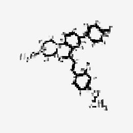 COc1ccc(/C=C/C(=O)c2cc(-c3ccc(F)cc3)ccc2N2CCN(C)CC2)c(F)c1